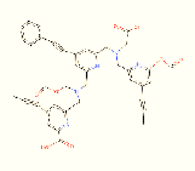 CC#Cc1cc(CN(CC(=O)O)Cc2cc(C#Cc3ccccc3)cc(CN(COC=O)Cc3cc(C#CC)cc(C(=O)O)n3)n2)nc(OC=O)c1